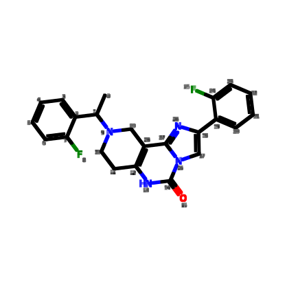 CC(c1ccccc1F)N1CCc2[nH]c(=O)n3cc(-c4ccccc4F)nc3c2C1